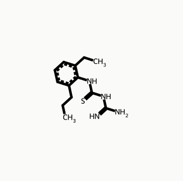 CCCc1cccc(CC)c1NC(=S)NC(=N)N